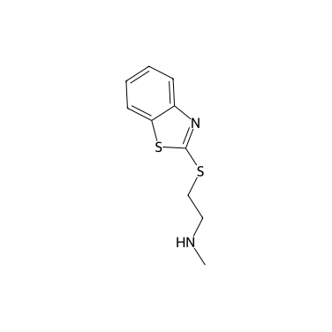 CNCCSc1nc2ccccc2s1